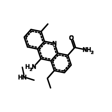 CCc1ccc(C(N)=O)c2nc3c(C)cccc3c(N)c12.CNC